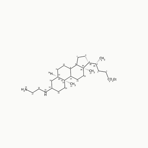 CCOC(=O)CC[C@@H](C)[C@H]1CCC2C3CC[C@@H]4CC(NCCN)CC[C@]4(C)C3CC[C@@]21C